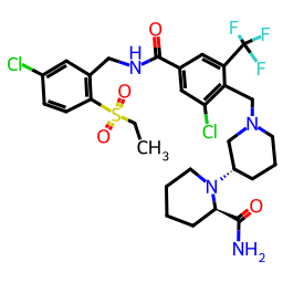 CCS(=O)(=O)c1ccc(Cl)cc1CNC(=O)c1cc(Cl)c(CN2CCC[C@H](N3CCCC[C@@H]3C(N)=O)C2)c(C(F)(F)F)c1